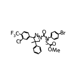 COC(=O)SN(C(=O)N1CC(C)(c2ccccc2)C(c2ccc(C(F)(F)F)c(Cl)c2)=N1)c1ccc(Br)cc1